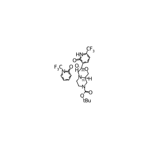 CC(C)(C)OC(=O)N1CCN2C[C@@](O)(c3ccc(C(F)(F)F)[nH]c3=O)OC[C@@H]2C1.O=c1ccccn1C(F)(F)F